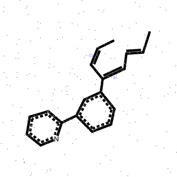 CC=C/C=C(\C=C/C)c1cccc(-c2ccccn2)c1